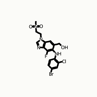 CS(=O)(=O)CCn1cnc2c(F)c(Nc3ccc(Br)cc3Cl)c(CO)cc21